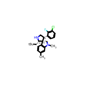 Cc1ccc2c(c1)N(C)C[C@@]21[C@H](CC(C)(C)C)NC[C@@H]1c1cccc(Cl)c1F